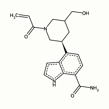 C=CC(=O)N1CC(CO)C[C@@H](c2ccc(C(N)=O)c3[nH]ccc23)C1